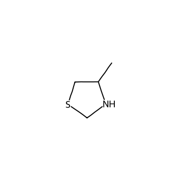 CC1CSCN1